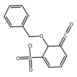 O=C=C1C=CC=C(S(=O)(=O)Cl)C1OCc1ccccc1